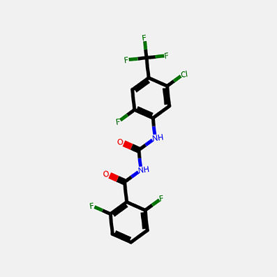 O=C(NC(=O)c1c(F)cccc1F)Nc1cc(Cl)c(C(F)(F)F)cc1F